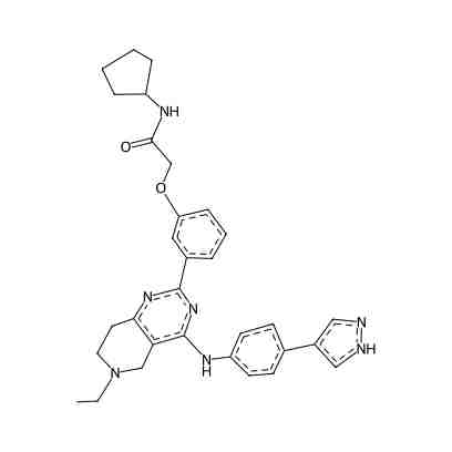 CCN1CCc2nc(-c3cccc(OCC(=O)NC4CCCC4)c3)nc(Nc3ccc(-c4cn[nH]c4)cc3)c2C1